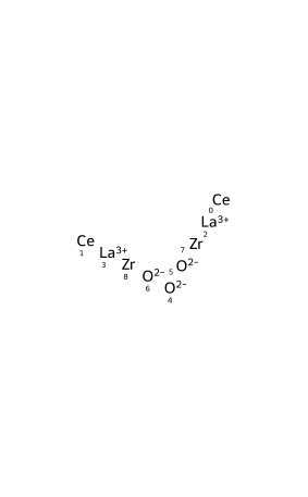 [Ce].[Ce].[La+3].[La+3].[O-2].[O-2].[O-2].[Zr].[Zr]